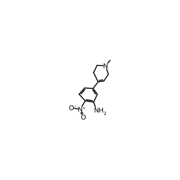 CN1CC=C(c2ccc([N+](=O)[O-])c(N)c2)CC1